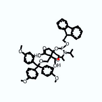 CCC(CC)(OP(OCC1c2ccccc2-c2ccccc21)N(C(C)C)C(C)C)C(COC(c1ccc(OC)cc1)(c1ccc(OC)cc1)c1ccc(OC)cc1)(C(=O)O)C(=O)O